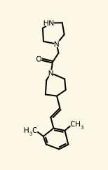 Cc1cccc(C)c1/C=C/C1CCN(C(=O)CN2CCNCC2)CC1